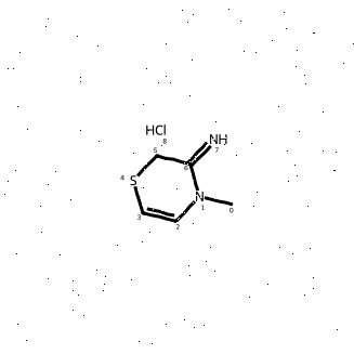 CN1C=CSCC1=N.Cl